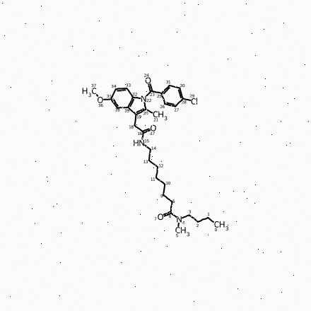 CCCCN(C)C(=O)CCCCCCCNC(=O)Cc1c(C)n(C(=O)c2ccc(Cl)cc2)c2ccc(OC)cc12